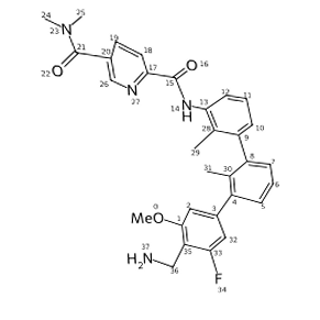 COc1cc(-c2cccc(-c3cccc(NC(=O)c4ccc(C(=O)N(C)C)cn4)c3C)c2C)cc(F)c1CN